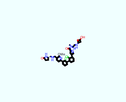 COc1nc(-c2cccc(-c3cccc(-c4cc5c(=O)n(C)c(CNC67CC(O)(C6)C7)nn5c4)c3Cl)c2Cl)ccc1CNC[C@@H]1CCC(=O)N1